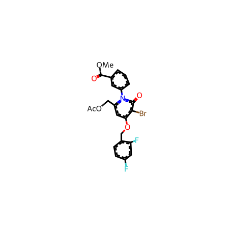 COC(=O)c1cccc(-n2c(COC(C)=O)cc(OCc3ccc(F)cc3F)c(Br)c2=O)c1